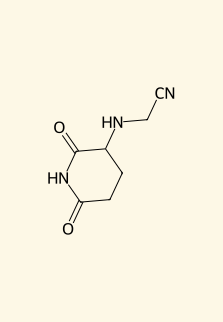 N#CCNC1CCC(=O)NC1=O